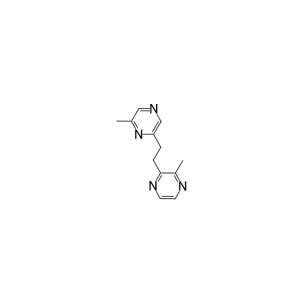 Cc1cncc(CCc2nccnc2C)n1